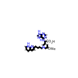 CO[C@H](C)CN(CCCCc1ccc2c(n1)NCCC2)CCC(Nc1ncnc2[nH]cnc12)C(=O)O